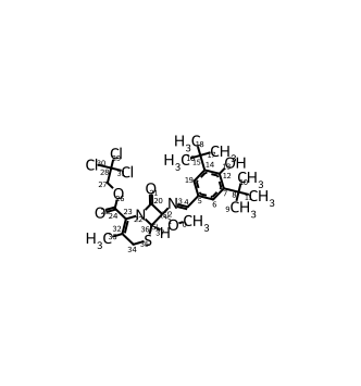 CO[C@@]1(N=Cc2cc(C(C)(C)C)c(O)c(C(C)(C)C)c2)C(=O)N2C(C(=O)OCC(Cl)(Cl)Cl)=C(C)CS[C@H]21